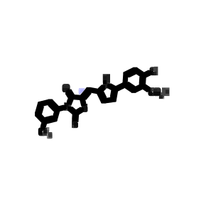 O=C(O)c1cc(-c2ccc(/C=C3\SC(=S)N(c4cccc(C(F)(F)F)c4)C3=O)[nH]2)ccc1Cl